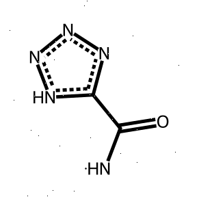 [NH]C(=O)c1nnn[nH]1